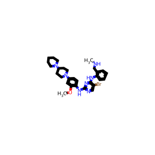 CNCc1ccccc1Nc1nc(Nc2ccc(N3CCC(N4CCCCC4)CC3)cc2OC)ncc1Br